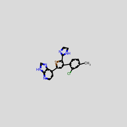 Cc1ccc(-c2cc(-c3ccnc4[nH]cnc34)sc2-c2ncc[nH]2)c(Cl)c1